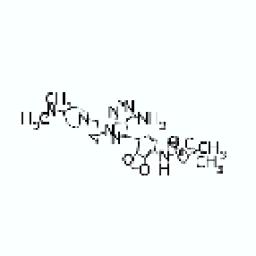 CN(C)C1CCN(CC2(n3nc(-c4ccc(NC(=O)OC(C)(C)C)c5c4OCO5)c4c(N)ncnc43)CC2)CC1